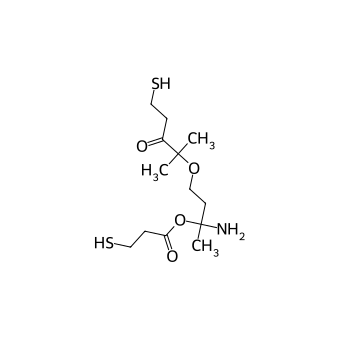 CC(N)(CCOC(C)(C)C(=O)CCS)OC(=O)CCS